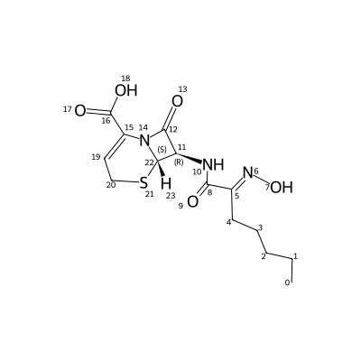 CCCCCC(=NO)C(=O)N[C@@H]1C(=O)N2C(C(=O)O)=CCS[C@@H]12